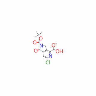 COC(O)c1nc(Cl)cc2c1CN(C(=O)OC(C)(C)C)C2=O